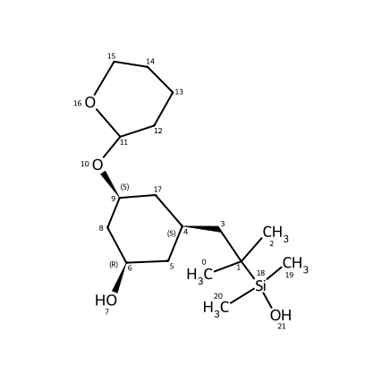 CC(C)(C[C@H]1C[C@@H](O)C[C@@H](OC2CCCCO2)C1)[Si](C)(C)O